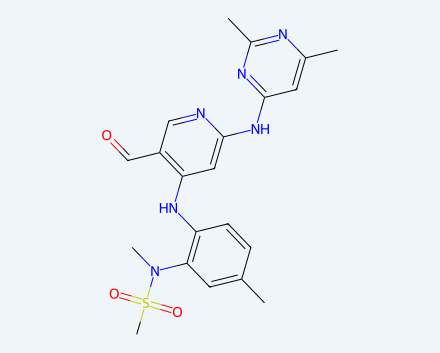 Cc1ccc(Nc2cc(Nc3cc(C)nc(C)n3)ncc2C=O)c(N(C)S(C)(=O)=O)c1